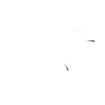 Cc1ccc(C(c2ccc(C)c(C)c2)[C@H](C)OC(=O)[C@H](C)N)cc1C